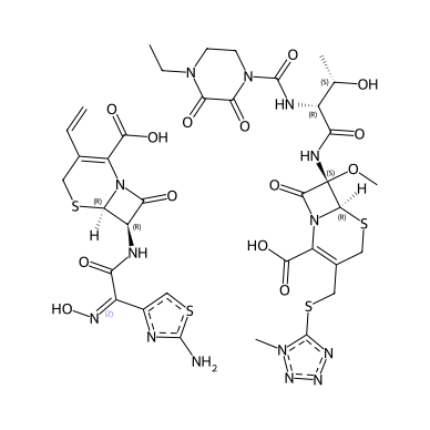 C=CC1=C(C(=O)O)N2C(=O)[C@@H](NC(=O)/C(=N\O)c3csc(N)n3)[C@H]2SC1.CCN1CCN(C(=O)N[C@@H](C(=O)N[C@]2(OC)C(=O)N3C(C(=O)O)=C(CSc4nnnn4C)CS[C@@H]32)[C@H](C)O)C(=O)C1=O